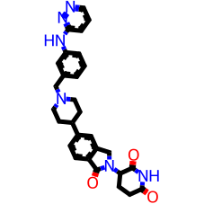 O=C1CCC(N2Cc3cc(C4CCN(Cc5cccc(Nc6cccnn6)c5)CC4)ccc3C2=O)C(=O)N1